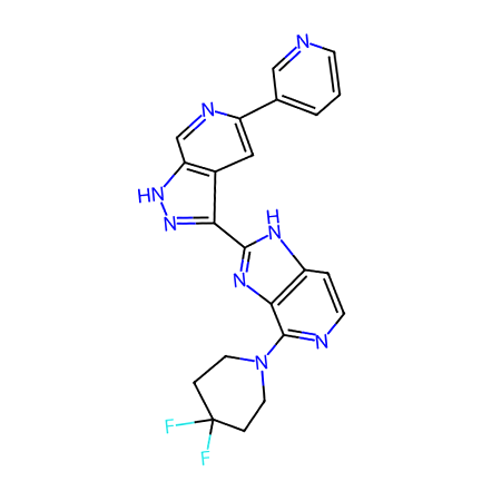 FC1(F)CCN(c2nccc3[nH]c(-c4n[nH]c5cnc(-c6cccnc6)cc45)nc23)CC1